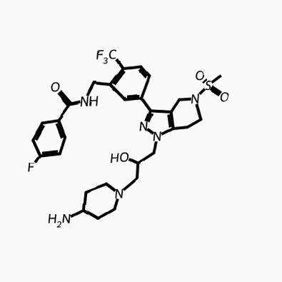 CS(=O)(=O)N1CCc2c(c(-c3ccc(C(F)(F)F)c(CNC(=O)c4ccc(F)cc4)c3)nn2CC(O)CN2CCC(N)CC2)C1